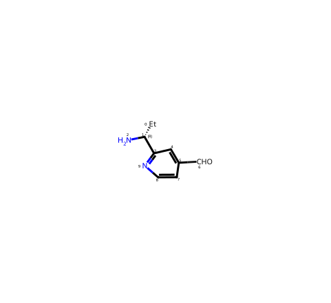 CC[C@@H](N)c1cc(C=O)ccn1